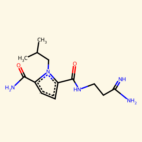 CC(C)Cn1c(C(N)=O)[c]cc1C(=O)NCCC(=N)N